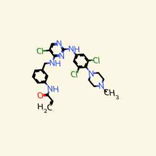 C=CC(=O)Nc1cccc(CNc2nc(Nc3cc(Cl)c(N4CCN(C)CC4)c(Cl)c3)ncc2Cl)c1